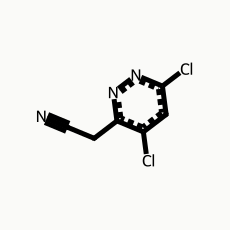 N#CCc1nnc(Cl)cc1Cl